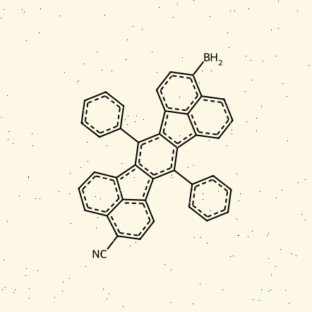 Bc1ccc2c3c(-c4ccccc4)c4c5cccc6c(C#N)ccc(c4c(-c4ccccc4)c3c3cccc1c23)c65